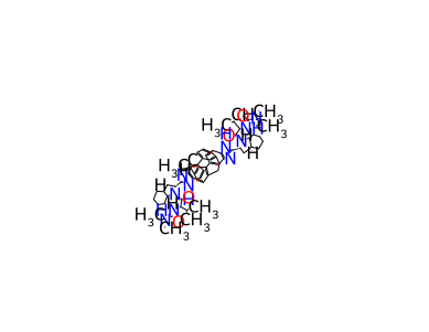 CC(C)[C@H](NC(=O)N(C)C)C(=O)N1[C@H](c2nc3cc(-c4cc5ccc4CCc4ccc(c(-c6ccc7[nH]c([C@@H]8C[C@@H]9CCCC[C@@H]9N8C(=O)[C@@H](NC(=O)N(C)C)C(C)C)nc7c6)c4)C[C@H]5C)ccc3[nH]2)C[C@@H]2CCCC[C@@H]21